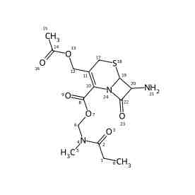 CCC(=O)N(C)COC(=O)C1=C(COC(C)=O)CSC2C(N)C(=O)N12